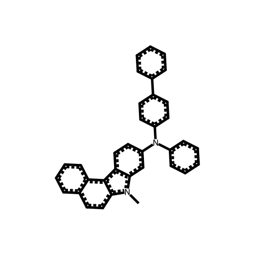 Cn1c2cc(N(c3ccccc3)c3ccc(-c4ccccc4)cc3)ccc2c2c3ccccc3ccc21